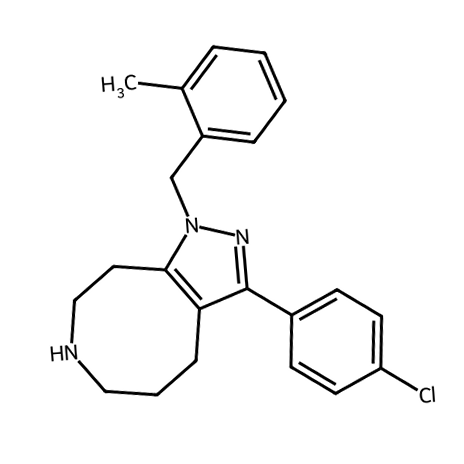 Cc1ccccc1Cn1nc(-c2ccc(Cl)cc2)c2c1CCNCCC2